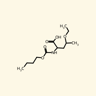 CCCCOC(=O)NC(CC(C)OCC)C(=O)O